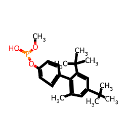 COP(O)Oc1ccc(-c2c(C)cc(C(C)(C)C)cc2C(C)(C)C)cc1